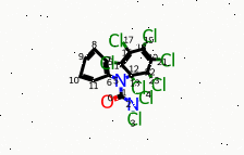 O=C(N(Cl)Cl)N(c1ccccc1)C1(Cl)C(Cl)=C(Cl)C(Cl)=C(Cl)C1Cl